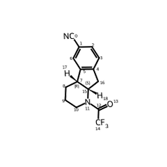 N#Cc1ccc2c(c1)[C@H]1CCCN(C(=O)C(F)(F)F)[C@H]1C2